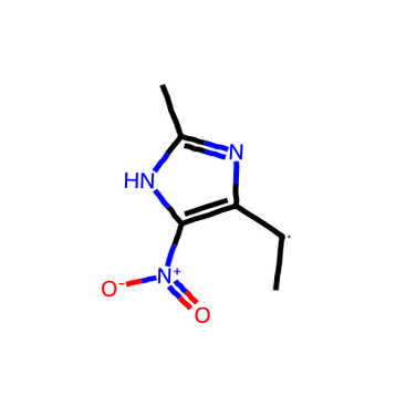 C[CH]c1nc(C)[nH]c1[N+](=O)[O-]